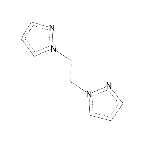 c1cnn(CCn2cccn2)c1